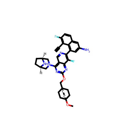 C#Cc1c(F)ccc2cc(N)cc(-c3ncc4c(N5C[C@H]6CC[C@@H](C5)N6)nc(OCC56CCC(OC)(CC5)CC6)nc4c3F)c12